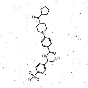 CCS(=O)(=O)c1ccc([C@H](CO)NC(=O)c2ccc(N3CCN(C(=O)C4CCCC4)CC3)cc2)cc1